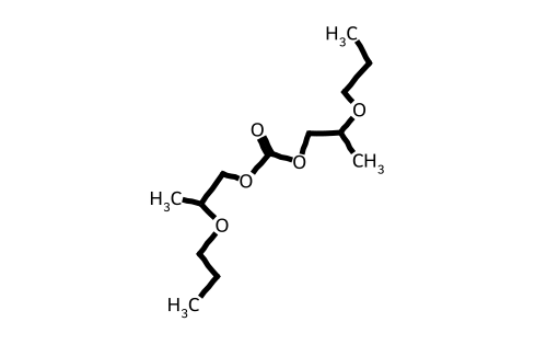 CCCOC(C)COC(=O)OCC(C)OCCC